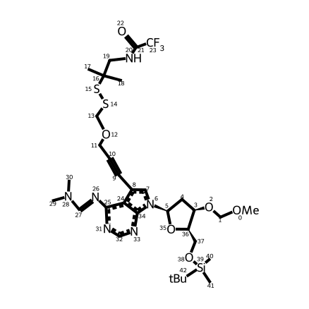 COCO[C@@H]1C[C@H](n2cc(C#CCOCSSC(C)(C)CNC(=O)C(F)(F)F)c3c(/N=C/N(C)C)ncnc32)O[C@@H]1CO[Si](C)(C)C(C)(C)C